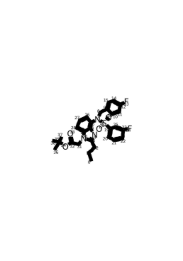 CCCc1nc2c(N(Cc3ccc(F)cc3)S(=O)(=O)c3cccc(F)c3)cccc2n1CC(=O)OC(C)(C)C